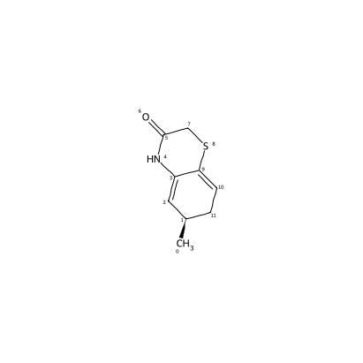 C[C@H]1C=C2NC(=O)CSC2=CC1